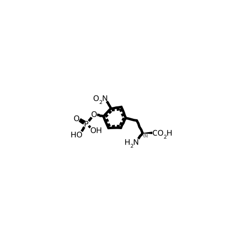 N[C@@H](Cc1ccc(OP(=O)(O)O)c([N+](=O)[O-])c1)C(=O)O